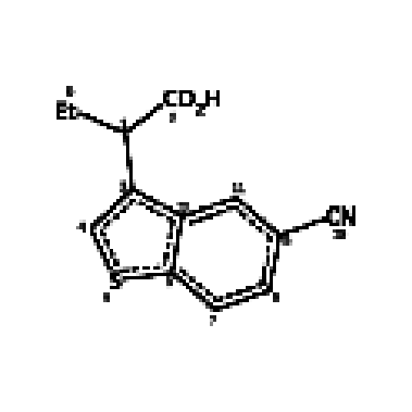 CCC(C(=O)O)c1csc2ccc(C#N)cc12